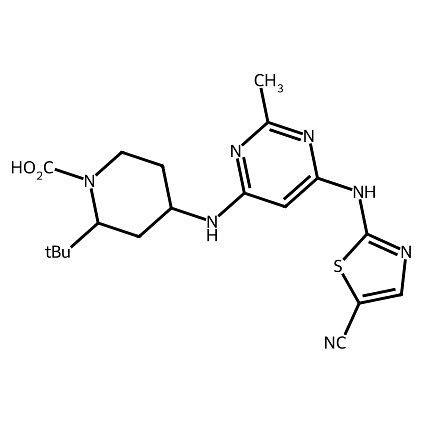 Cc1nc(Nc2ncc(C#N)s2)cc(NC2CCN(C(=O)O)C(C(C)(C)C)C2)n1